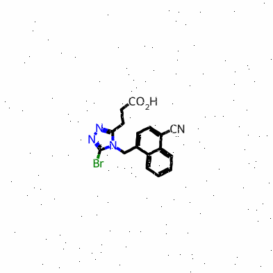 N#Cc1ccc(Cn2c(Br)nnc2CCC(=O)O)c2ccccc12